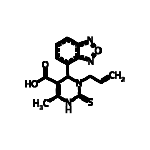 C=CCN1C(=S)NC(C)=C(C(=O)O)C1c1cccc2nonc12